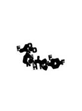 C[C@H](Nc1nccc(N2C(=O)OCC2CF)n1)c1cn(-c2ccc(F)cc2F)cn1